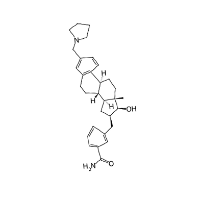 C[C@]12CC[C@@H]3c4ccc(CN5CCCC5)cc4CC[C@H]3[C@@H]1C[C@H](Cc1cccc(C(N)=O)c1)[C@@H]2O